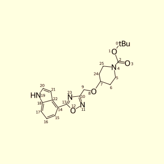 CC(C)(C)OC(=O)N1CCC(OCc2noc(-c3cccc4[nH]ccc34)n2)CC1